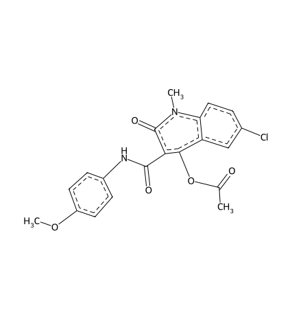 COc1ccc(NC(=O)c2c(OC(C)=O)c3cc(Cl)ccc3n(C)c2=O)cc1